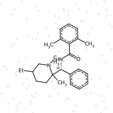 CCC1CCC(C)([C@H](NC(=O)c2c(C)cccc2C)c2ccccc2)N(C)C1